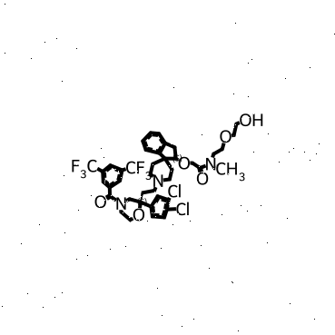 CN(CCOCCO)C(=O)CO[C@H]1Cc2ccccc2C12CCN(CC[C@]1(c3ccc(Cl)c(Cl)c3)CN(C(=O)c3cc(C(F)(F)F)cc(C(F)(F)F)c3)CCO1)CC2